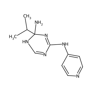 CC(C)C1(N)N=C(Nc2ccncc2)N=CN1